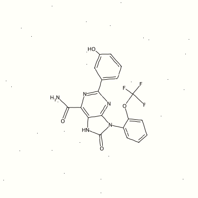 NC(=O)c1nc(-c2cccc(O)c2)nc2c1[nH]c(=O)n2-c1ccccc1OC(F)(F)F